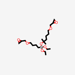 CCO[Si](CCCCOCC1CO1)(OCC)OC(C)(C)CCCCOCC1CO1